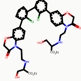 CCOC(=O)C(CO)NCCN1C(=O)COc2cc(-c3cccc(-c4cccc(-c5ccc6c(c5)OCC(=O)N6CCNC(CO)C(=O)OCC)c4Cl)c3Cl)ccc21